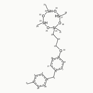 Cc1ccc(Cc2ccc(OCCC[Si]3(C)O[SiH](C)O[SiH](C)O[SiH](C)O3)cc2)cc1